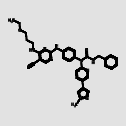 CCOCCCNc1nc(Nc2ccc(N(C(=O)NCc3ccccc3)c3ccc(-c4cnn(C)c4)cn3)cc2)ncc1C#N